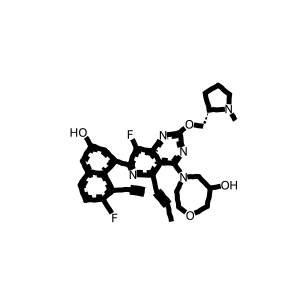 C#Cc1c(F)ccc2cc(O)cc(-c3nc(C#CC)c4c(N5CCOCC(O)C5)nc(OC[C@@H]5CCCN5C)nc4c3F)c12